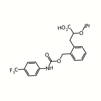 CC(C)OC(Cc1ccccc1COC(=O)Nc1ccc(C(F)(F)F)cc1)C(=O)O